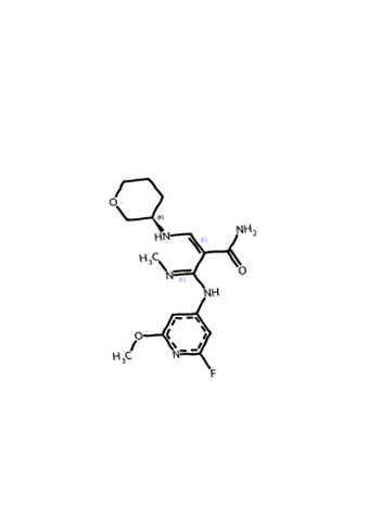 C/N=C(Nc1cc(F)nc(OC)c1)\C(=C/N[C@@H]1CCCOC1)C(N)=O